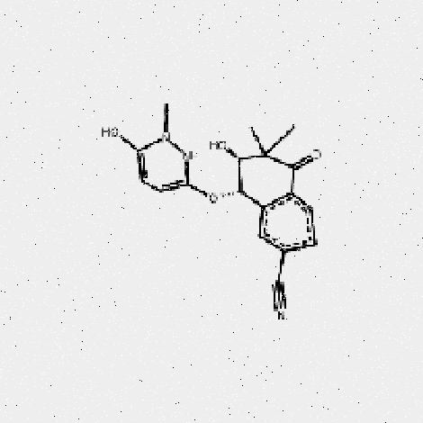 CN1NC(O[C@H]2c3cc(C#N)ccc3C(=O)C(C)(C)[C@@H]2O)=CC=C1O